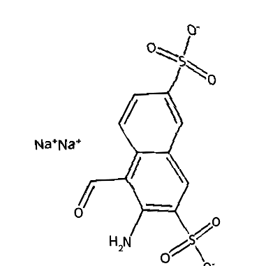 Nc1c(S(=O)(=O)[O-])cc2cc(S(=O)(=O)[O-])ccc2c1C=O.[Na+].[Na+]